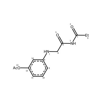 CCC(=O)NC(=O)CNc1cccc(OC(C)=O)c1